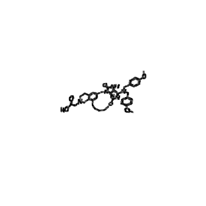 COc1ccc(CN(Cc2ccc(OC)cc2)c2nc3nc4c2[nH]c(=O)n4Cc2cc(c4c(c2)CCN(CC(=O)O)C4)CCCCCO3)cc1